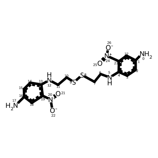 Nc1ccc(NCCSSCCNc2ccc(N)cc2[N+](=O)[O-])c([N+](=O)[O-])c1